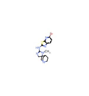 CN1C(Nc2nc3ccc(Br)nc3s2)=NCC12CN1CCC2CC1